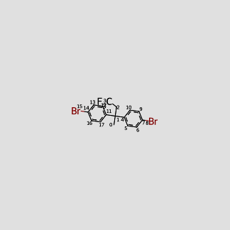 CC(CC(F)(F)F)(c1ccc(Br)cc1)c1ccc(Br)cc1